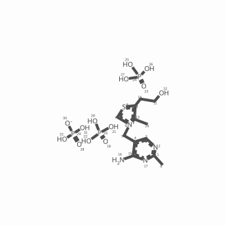 Cc1ncc(C[n+]2csc(CCO)c2C)c(N)n1.O=P(O)(O)O.O=P(O)(O)O.O=P([O-])(O)O